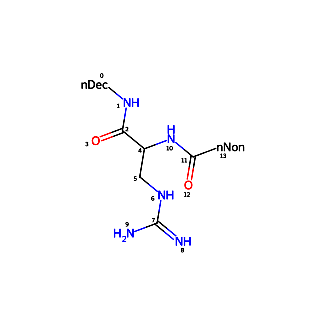 CCCCCCCCCCNC(=O)C(CNC(=N)N)NC(=O)CCCCCCCCC